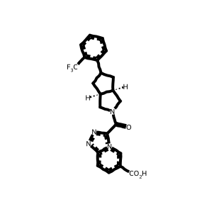 O=C(O)c1ccc2nnc(C(=O)N3C[C@H]4CC(c5ccccc5C(F)(F)F)C[C@H]4C3)n2c1